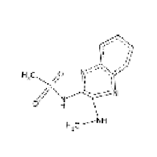 CNc1nc2ccccc2nc1NS(C)(=O)=O